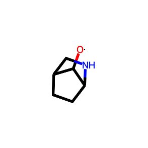 [O]C1C2CCC1NC2